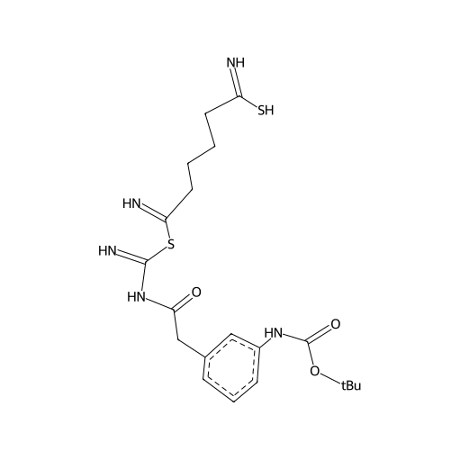 CC(C)(C)OC(=O)Nc1cccc(CC(=O)NC(=N)SC(=N)CCCCC(=N)S)c1